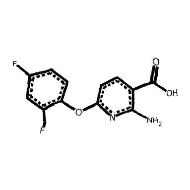 Nc1nc(Oc2ccc(F)cc2F)ccc1C(=O)O